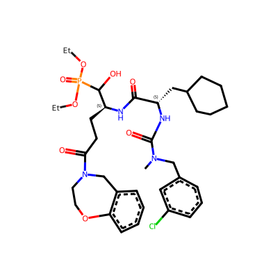 CCOP(=O)(OCC)C(O)[C@H](CCC(=O)N1CCOc2ccccc2C1)NC(=O)[C@H](CC1CCCCC1)NC(=O)N(C)Cc1cccc(Cl)c1